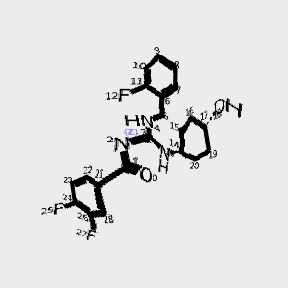 O=C(/N=C(/NCc1ccccc1F)N[C@H]1CC[C@H](O)CC1)c1ccc(F)c(F)c1